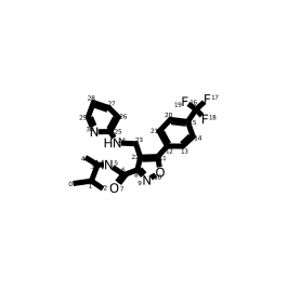 CC(C)C(C)NC(=O)c1noc(-c2ccc(C(F)(F)F)cc2)c1CNc1ccccn1